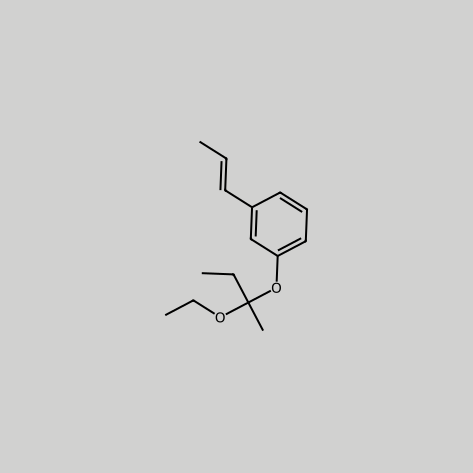 CC=Cc1cccc(OC(C)(CC)OCC)c1